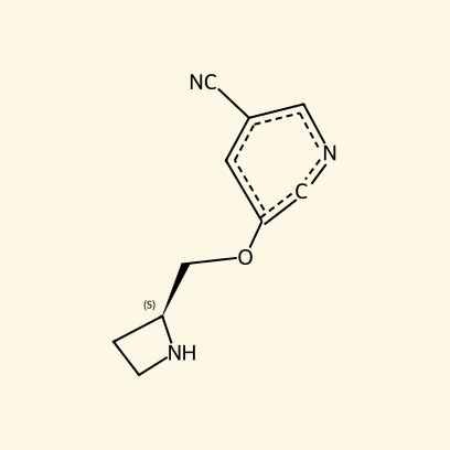 N#Cc1cncc(OC[C@@H]2CCN2)c1